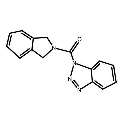 O=C(N1Cc2ccccc2C1)n1nnc2ccccc21